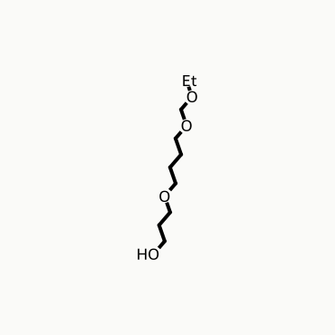 CCOCOCCCCOCCCO